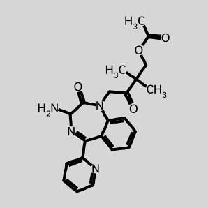 CC(=O)OCC(C)(C)C(=O)CN1C(=O)C(N)N=C(c2ccccn2)c2ccccc21